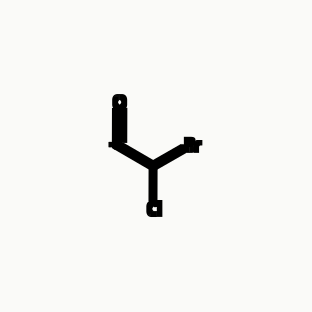 O=[C]C(Cl)Br